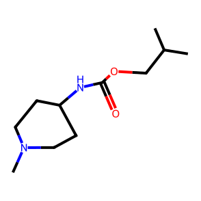 CC(C)COC(=O)NC1CCN(C)CC1